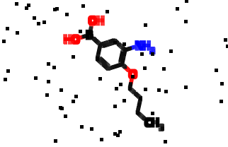 CCCCOc1ccc(B(O)O)cc1N